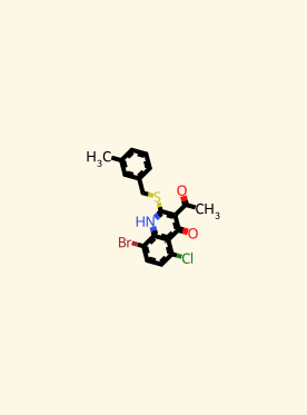 CC(=O)c1c(SCc2cccc(C)c2)[nH]c2c(Br)ccc(Cl)c2c1=O